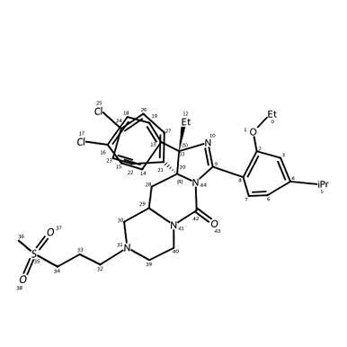 CCOc1cc(C(C)C)ccc1C1=N[C@@](CC)(c2ccc(Cl)cc2)[C@]2(c3ccc(Cl)cc3)CC3CN(CCCS(C)(=O)=O)CCN3C(=O)N12